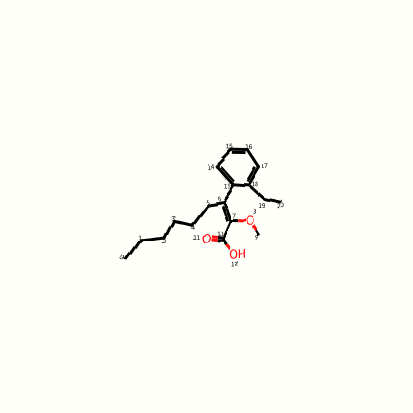 CCCCCCC(=C(OC)C(=O)O)c1ccccc1CC